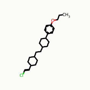 CCCOc1ccc(C2CCC(CCC3CCC(/C=C/Cl)CC3)CC2)cc1